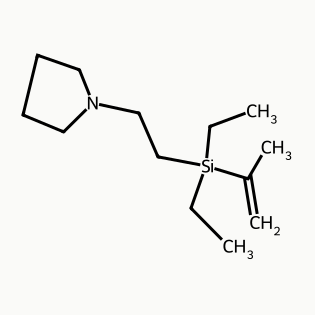 C=C(C)[Si](CC)(CC)CCN1CCCC1